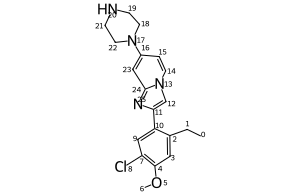 CCc1cc(OC)c(Cl)cc1-c1cn2ccc(N3CCNCC3)cc2n1